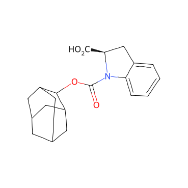 O=C(O)[C@H]1Cc2ccccc2N1C(=O)OC1C2CC3CC(C2)CC1C3